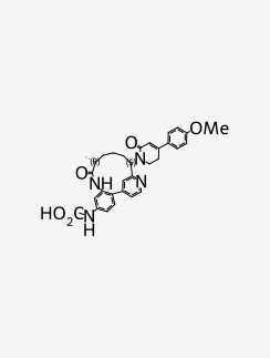 COc1ccc(C2=CC(=O)N([C@H]3CCC[C@@H](C)C(=O)Nc4cc(NC(=O)O)ccc4-c4ccnc3c4)CC2)cc1